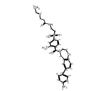 CCOCCC(=O)NCCS(=O)(=O)c1ccc(C(=O)N2CCOc3ccc(-c4ccc(N)nc4)cc3C2)c(C)c1